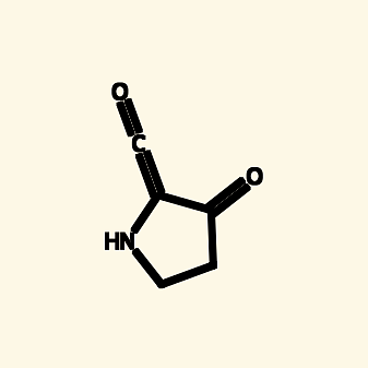 O=C=C1NCCC1=O